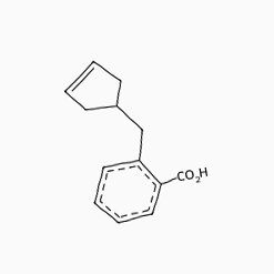 O=C(O)c1ccccc1CC1CC=CC1